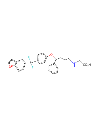 O=C(O)CNCCCC(Oc1ccc(C(F)(F)c2ccc3occc3c2)cc1)c1ccccc1